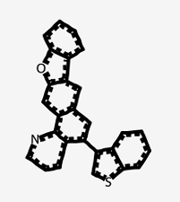 c1ccc2c(c1)oc1cc3c(cc(-c4csc5ccccc45)c4cccnc43)cc12